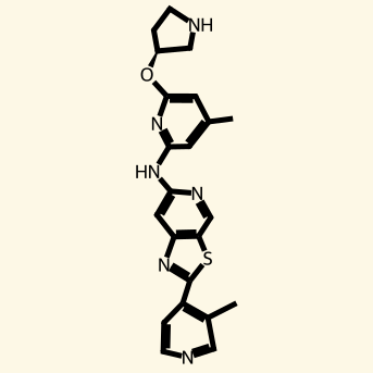 Cc1cc(Nc2cc3nc(-c4ccncc4C)sc3cn2)nc(O[C@H]2CCNC2)c1